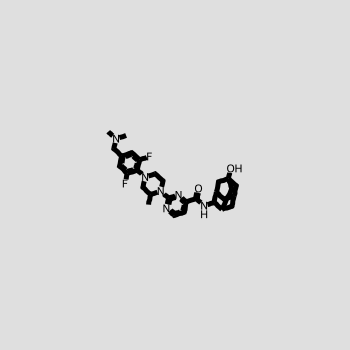 CC1CN(c2c(F)cc(CN(C)C)cc2F)CCN1c1nccc(C(=O)NC2C3CC4CC2CC(O)(C4)C3)n1